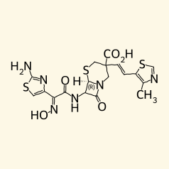 Cc1ncsc1C=CC1(C(=O)O)CS[C@@H]2C(NC(=O)C(=NO)c3csc(N)n3)C(=O)N2C1